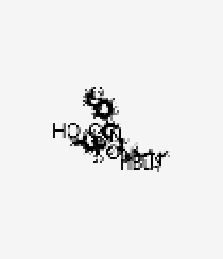 CCCCN(CCCN(C)C)C(=O)CN1C[C@H](c2ccc3c(c2)CCO3)[C@@H](C(=O)O)[C@@H]1CC(C)(C)C=C(C)C